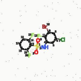 O=S(=O)(Nc1cc(Cl)cc(Br)c1F)c1c(F)cccc1F